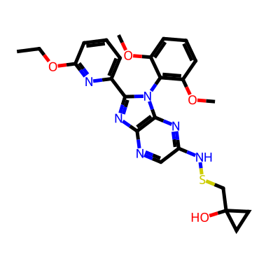 CCOc1cccc(-c2nc3ncc(NSCC4(O)CC4)nc3n2-c2c(OC)cccc2OC)n1